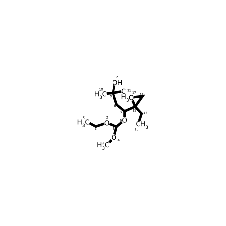 CCOC(OC)OC(CC(C)(C)O)C1(CC)CO1